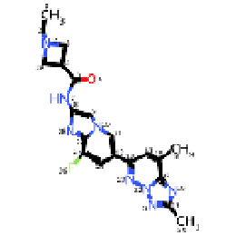 CCN1CC(C(=O)Nc2cn3cc(-c4cc(C)c5nc(C)nn5n4)cc(F)c3n2)C1